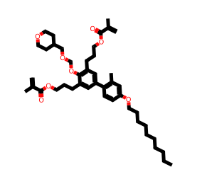 C=C(C)C(=O)OCCCc1cc(-c2ccc(OCCCCCCCCCC)cc2C)cc(CCCOC(=O)C(=C)C)c1OCOCC1CCOCC1